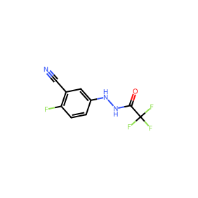 N#Cc1cc(NNC(=O)C(F)(F)F)ccc1F